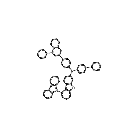 c1ccc(-c2ccc(N(c3ccc(-c4cc(-c5ccccc5)c5ccccc5c4)cc3)c3ccc4c(c3)oc3cccc(-n5c6ccccc6c6ccccc65)c34)cc2)cc1